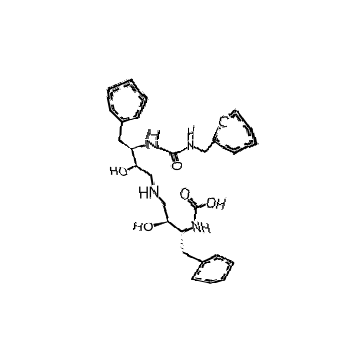 O=C(O)N[C@H](Cc1ccccc1)[C@@H](O)CNCC(O)[C@@H](Cc1ccccc1)NC(=O)NCc1ccccc1